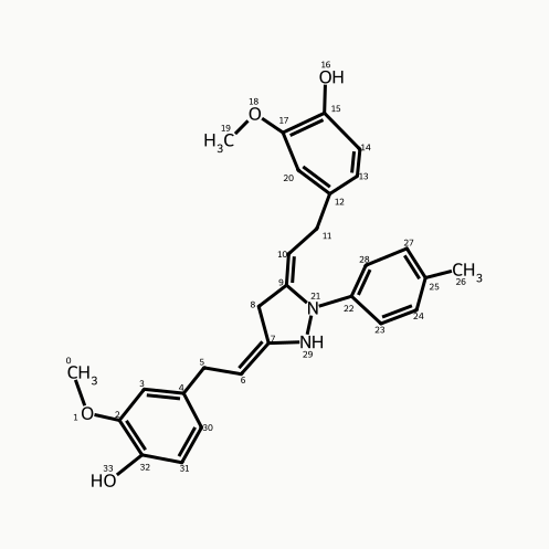 COc1cc(CC=C2CC(=CCc3ccc(O)c(OC)c3)N(c3ccc(C)cc3)N2)ccc1O